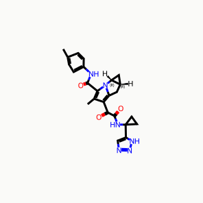 Cc1ccc(NC(=O)c2c(C)c(C(=O)C(=O)NC3(c4cnn[nH]4)CC3)c3n2[C@@H]2C[C@@H]2C3)cc1